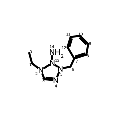 CCN1[C]=NN(Cc2ccccc2)N1N